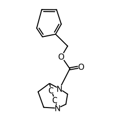 O=C(OCc1ccccc1)N1CCN2CCC1CC2